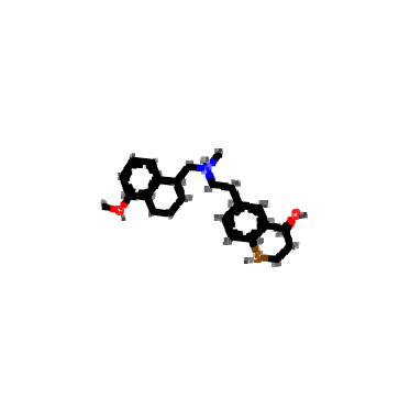 COc1cccc2c1CCCC2CN(C)CCc1ccc2c(c1)C(=O)CCS2